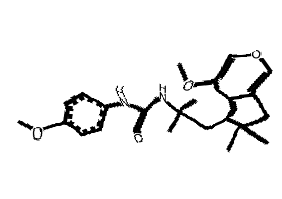 COC1=COC=C2CC(C)(C)C(CC(C)(C)NC(=O)Nc3ccc(OC)cc3)=C21